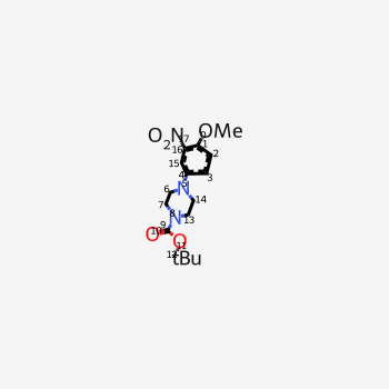 COc1ccc(N2CCN(C(=O)OC(C)(C)C)CC2)cc1[N+](=O)[O-]